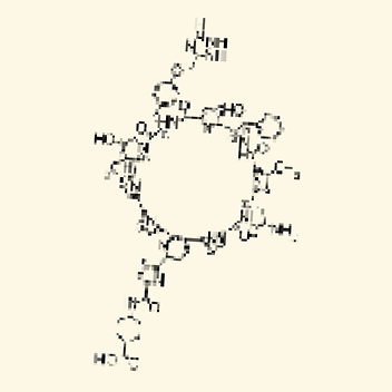 Cc1sc2nc1C(=O)N[C@@H]([C@H](O)c1ccccc1)c1nc(cs1)C(=O)N[C@@H](Cc1ccc(OCC3=NNNN3)cc1)C(=O)N1C[C@H](O)[C@H](C)[C@H]1c1nc(cs1)-c1nc(cs1)-c1nc(-c3nc(C(=O)N[C@H]4CC[C@H](C(=O)O)CC4)cs3)ccc1-c1nc(cs1)C(=O)N[C@H]2CC(N)=O